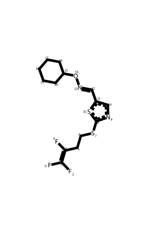 FC(F)=C(F)CCSc1ncc(C=NOC2CCCCC2)s1